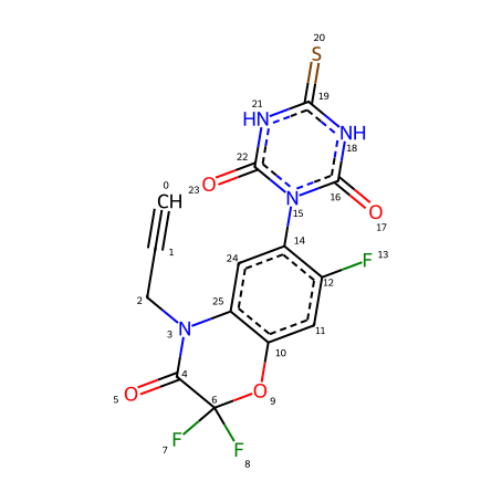 C#CCN1C(=O)C(F)(F)Oc2cc(F)c(-n3c(=O)[nH]c(=S)[nH]c3=O)cc21